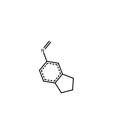 C=Nc1ccc2c(c1)CCC2